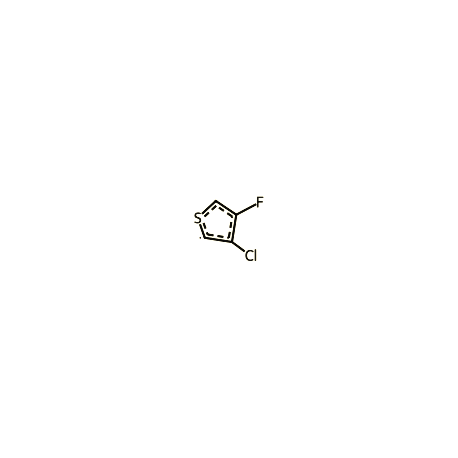 Fc1cs[c]c1Cl